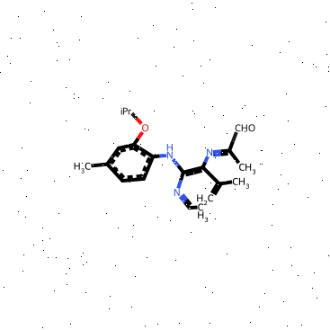 C=C(C)C(/N=C(\C)C=O)=C(\N=C/C)Nc1ccc(C)cc1OC(C)C